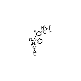 O=C(N1CCN(C2COC2)CC1)N(Cc1ccc(-c2nnc(C(F)F)o2)cc1F)c1ccccc1